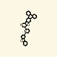 c1cc(-c2ccc3oc4ccccc4c3c2)nc(-c2cncc3c2oc2cc4c5ccccc5c5ccccc5c4cc23)c1